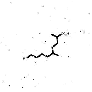 CC(C)CCCCC(C)CCC(C)C(=O)O